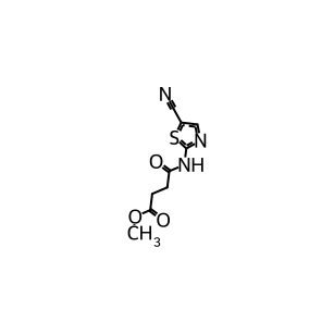 COC(=O)CCC(=O)Nc1ncc(C#N)s1